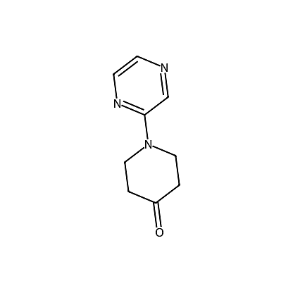 O=C1CCN(c2cnccn2)CC1